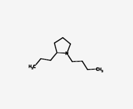 CCCCN1CCCC1CCC